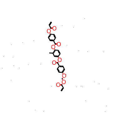 C=CC(=O)OCOc1ccc(C(=O)Oc2ccc(OC(=O)c3ccc(OC(=O)C=C)cc3)c(C)c2)cc1